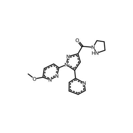 COc1ccc(-n2nc(C(=O)N3CCCN3)cc2-c2ccccn2)nn1